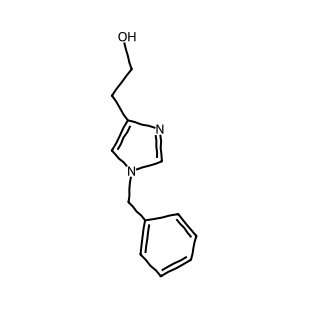 OCCc1cn(Cc2ccccc2)cn1